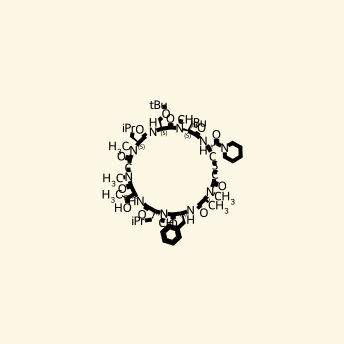 CC[C@H](C)[C@H]1C(=O)N[C@H](C(=O)N2CCCCC2)CSCC(=O)N(C)[C@@H](C)C(=O)N[C@@H](Cc2ccccc2)C(=O)N(C)[C@H](CC(C)C)C(=O)N[C@@H]([C@@H](C)O)C(=O)N(C)CC(=O)N(C)[C@@H](CC(C)C)C(=O)N[C@@H](COC(C)(C)C)C(=O)N1C